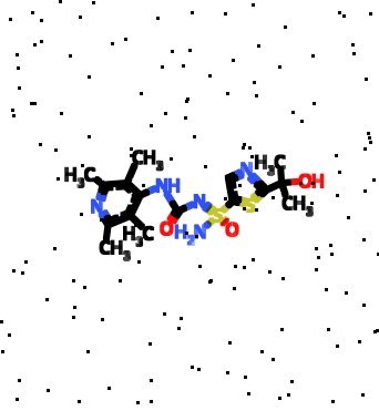 Cc1nc(C)c(C)c(NC(=O)N=S(N)(=O)c2cnc(C(C)(C)O)s2)c1C